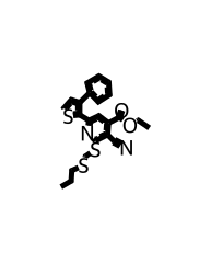 CCCSCSc1nc(-c2sccc2-c2ccccc2)cc(C(=O)OCC)c1C#N